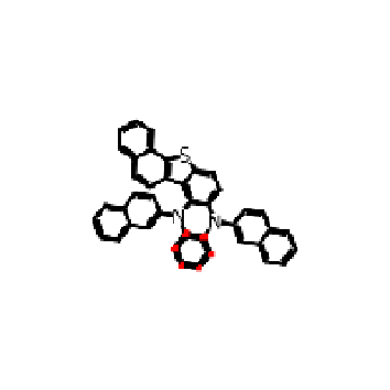 c1ccc(N(c2ccc3ccccc3c2)c2ccc3sc4c5ccccc5ccc4c3c2N(c2ccccc2)c2ccc3ccccc3c2)cc1